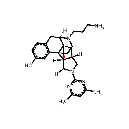 Cc1cc(C)nc(N2C[C@H]3C[C@@]45CC[C@@H]2[C@@H]3[C@@]42CCN(CCCN)[C@@H]5Cc3ccc(O)cc32)n1